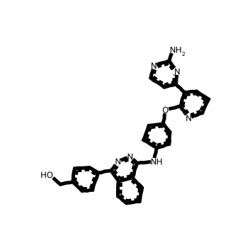 Nc1nccc(-c2cccnc2Oc2ccc(Nc3nnc(-c4ccc(CO)cc4)c4ccccc34)cc2)n1